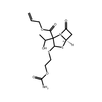 C=CCOC(=O)C1(C(C)O)C(SCCOC(N)=O)S[C@@H]2CC(=O)N21